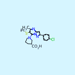 Cc1nc2cc(-c3ccc(Cl)cc3)nn2c(N2CCCC(C(=O)O)C2)c1SC(C)C